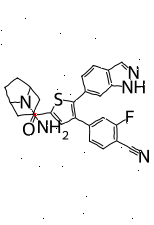 N#Cc1ccc(-c2cc(C(=O)N3C4CCC3CC(N)C4)sc2-c2ccc3cn[nH]c3c2)cc1F